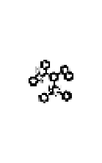 c1ccc(-c2nc(-c3ccccc3)nc(-c3cc(-c4cccc5ccccc45)cc(-c4c5ccccc5nc5c4sc4ccccc45)c3)n2)cc1